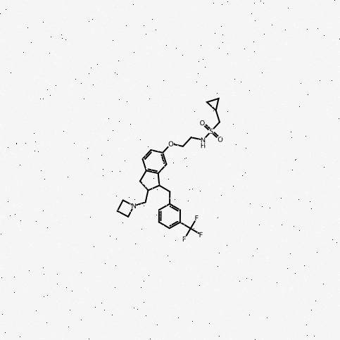 O=S(=O)(CC1CC1)NCCOc1ccc2c(c1)C(Cc1cccc(C(F)(F)F)c1)C(CN1CCC1)C2